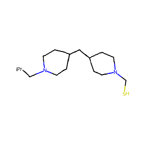 CC(C)CN1CCC(CC2CCN(CS)CC2)CC1